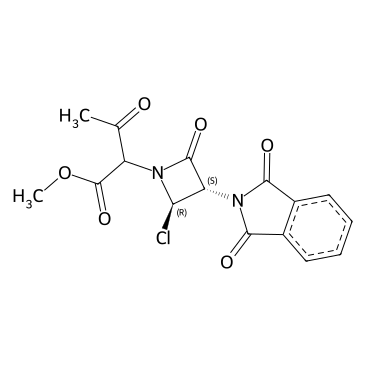 COC(=O)C(C(C)=O)N1C(=O)[C@H](N2C(=O)c3ccccc3C2=O)[C@H]1Cl